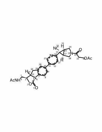 CC(=O)NC[C@@H]1OC(=O)N2c3ccc(-c4ccc([C@]5(C#N)[C@@H]6CN(C(=O)COC(C)=O)C[C@@H]65)nc4)cc3C[C@@H]12